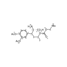 CC(=O)Oc1ccc(C(CC(C)OC(=O)OCC(C)(C)C)[C@H](N)C(=O)O)cc1OC(C)=O